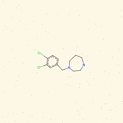 Clc1ccc(CN2CCC[N]CC2)cc1Cl